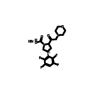 Br.O=C(CN1CCOCC1)C1C[C@H](c2c(F)c(F)cc(F)c2F)CN1C(=O)O